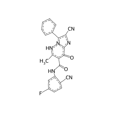 Cc1[nH]n2c(-c3ccccc3)c(C#N)nc2c(=O)c1C(=O)Nc1cc(F)ccc1C#N